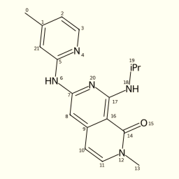 Cc1ccnc(Nc2cc3ccn(C)c(=O)c3c(NC(C)C)n2)c1